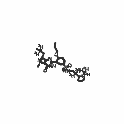 [2H]C([2H])(C)Cc1nn(C)c2c(=O)[nH]c(-c3cc(S(=O)(=O)NCC([2H])([2H])C4CCCN4C([2H])([2H])[2H])ccc3OCCC)nc12